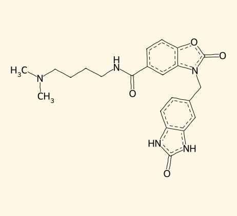 CN(C)CCCCNC(=O)c1ccc2oc(=O)n(Cc3ccc4[nH]c(=O)[nH]c4c3)c2c1